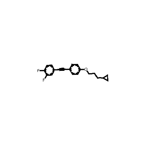 Fc1ccc(C#Cc2ccc(OCCCC3CC3)cc2)cc1F